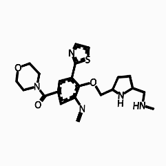 C=Nc1cc(C(=O)N2CCOCC2)cc(-c2nccs2)c1OCC1CCC(CNC)N1